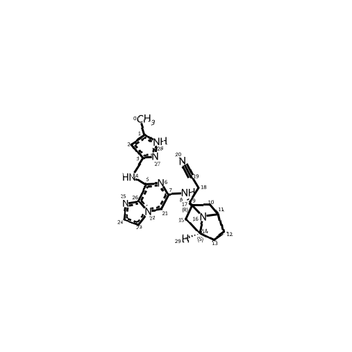 Cc1cc(Nc2nc(N[C@@H]3CC4CC[C@@H](C3)N4CCC#N)cn3ccnc23)n[nH]1